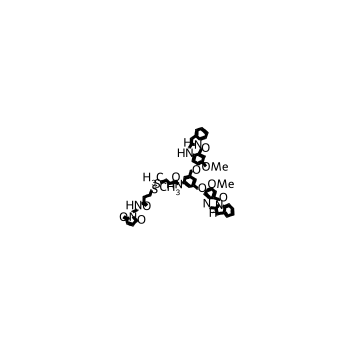 COc1cc2c(cc1OCc1cc(COc3cc4c(cc3OC)C(=O)N3c5ccccc5C[C@H]3CN4)cc(NC(=O)CCC(C)(C)SSCCCC(=O)NCCN3C(=O)C=CC3=O)c1)N=C[C@@H]1Cc3ccccc3N1C2=O